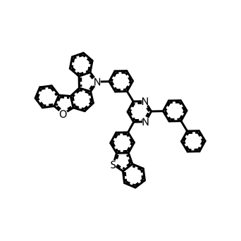 c1ccc(-c2cccc(-c3nc(-c4cccc(-n5c6ccccc6c6c7c(ccc65)oc5ccccc57)c4)cc(-c4ccc5sc6ccccc6c5c4)n3)c2)cc1